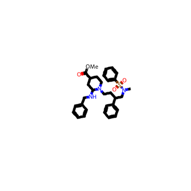 COC(=O)C1CCN(CCC(CN(C)S(=O)(=O)c2ccccc2)c2ccccc2)C(NCc2ccccc2)C1